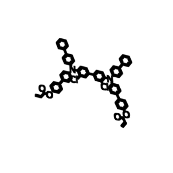 C=CC(=O)Oc1ccc(-c2ccc(N(c3ccc(-c4ccccc4)cc3)c3ccc(-c4ccc(N(c5ccc(-c6ccccc6)cc5)c5ccc(-c6ccc(OC(=O)C=C)cc6)cc5)c(Cl)c4)cc3Cl)cc2)cc1